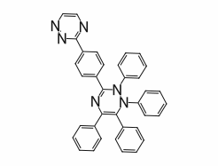 c1ccc(C2=C(c3ccccc3)N(c3ccccc3)N(c3ccccc3)C(c3ccc(-c4nccnn4)cc3)=N2)cc1